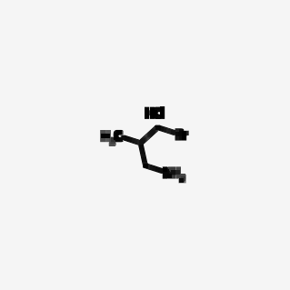 CC(CN)CBr.Cl